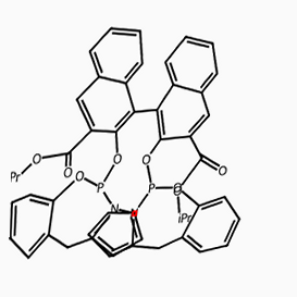 CC(C)OC(=O)c1cc2ccccc2c(-c2c(OP3Oc4ccccc4Cc4cccn43)c(C(=O)OC(C)C)cc3ccccc23)c1OP1Oc2ccccc2Cc2cccn21